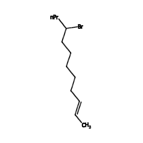 C/C=C/CCCCCC(Br)CCC